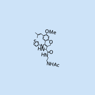 COc1cc2c(cc1C=C(C)C)C1=C(CO2)C(C(=O)NCCNC(C)=O)NN1c1ccsc1